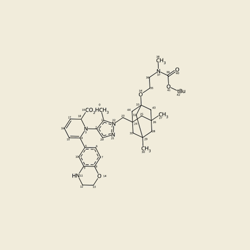 Cc1c(N2C(c3ccc4c(c3)NCCO4)=CC=CC2C(=O)O)cnn1CC12CC3(C)CC(C)(C1)CC(OCCN(C)C(=O)OC(C)(C)C)(C3)C2